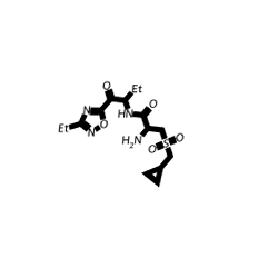 CCc1noc(C(=O)C(CC)NC(=O)C(N)CS(=O)(=O)CC2CC2)n1